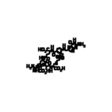 CCS(=O)(=O)CCSCC(NC(=O)C(CC(=O)O)NC(=O)C(CCCNC(=N)N)NC(=O)CCC(NC(=O)c1ccc(NCc2cnc3nc(N)[nH]c(=O)c3n2)cc1)C(=O)O)C(=O)O